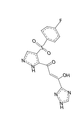 O=C(C=C(O)c1nc[nH]n1)c1[nH]ncc1S(=O)(=O)c1ccc(F)cc1